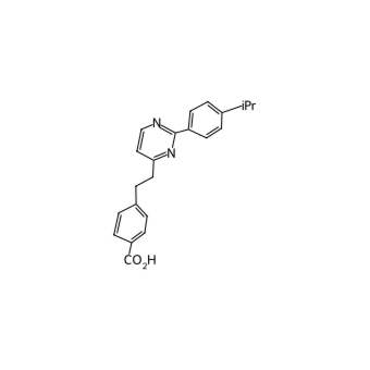 CC(C)c1ccc(-c2nccc(CCc3ccc(C(=O)O)cc3)n2)cc1